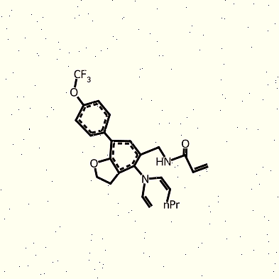 C=CC(=O)NCc1cc(-c2ccc(OC(F)(F)F)cc2)c2c(c1N(C=C)/C=C\CCC)CCO2